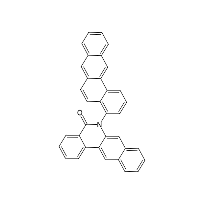 O=c1c2ccccc2c2cc3ccccc3cc2n1-c1cccc2c1ccc1cc3ccccc3cc12